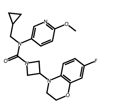 COc1ccc(N(CC2CC2)C(=O)N2CC(N3CCOc4cc(F)ccc43)C2)cn1